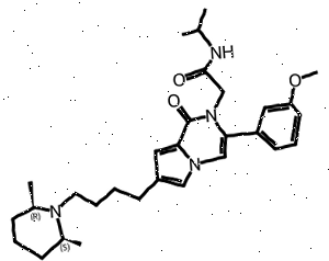 COc1cccc(-c2cn3cc(CCCCN4[C@H](C)CCC[C@@H]4C)cc3c(=O)n2CC(=O)NC(C)C)c1